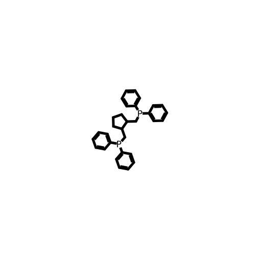 c1ccc(P(CC2CCCC2CP(c2ccccc2)c2ccccc2)c2ccccc2)cc1